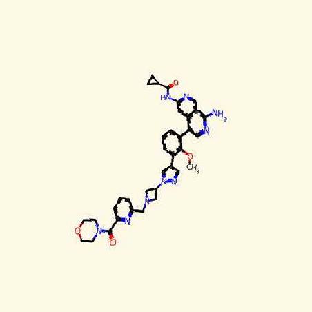 COc1c(-c2cnn(C3CN(Cc4cccc(C(=O)N5CCOCC5)n4)C3)c2)cccc1-c1cnc(N)c2cnc(NC(=O)C3CC3)cc12